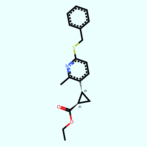 CCOC(=O)[C@@H]1C[C@H]1c1ccc(SCc2ccccc2)nc1C